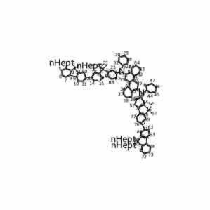 CCCCCCCC1(CCCCCCC)c2ccccc2-c2ccc(-c3ccc4c(c3)C(C)(C)c3cc(N(c5ccccc5)c5cc6c7ccccc7c(N(c7ccccc7)c7ccc8c(c7)C(C)(C)c7cc(-c9ccc%10c(c9)C(CCCCCCC)(CCCCCCC)c9ccccc9-%10)ccc7-8)cc6c6ccccc56)ccc3-4)cc21